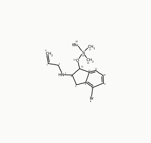 C=CCNC1Cc2c(Br)cccc2C1O[Si](C)(C)C(C)(C)C